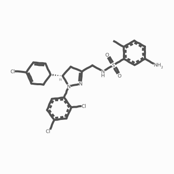 Cc1ccc(N)cc1S(=O)(=O)NCC1=NN(c2ccc(Cl)cc2Cl)[C@H](C2C=CC(Cl)=CC2)C1